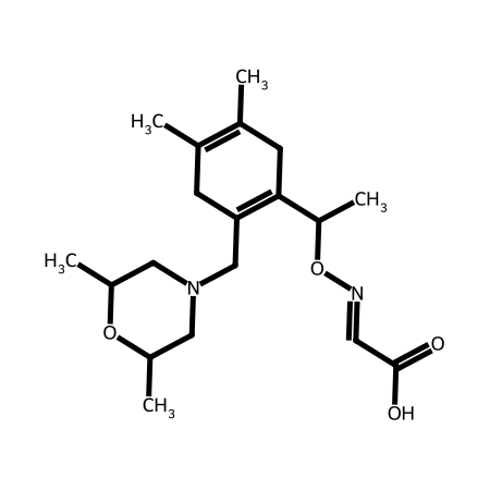 CC1=C(C)CC(C(C)ON=CC(=O)O)=C(CN2CC(C)OC(C)C2)C1